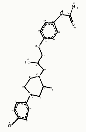 CC1CN(c2ccc(Cl)cc2)CCN1CC(O)COc1ccc(NC(N)=O)cc1